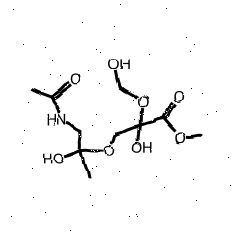 COC(=O)C(O)(COC(C)(O)CNC(C)=O)OCO